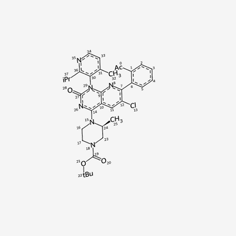 CC(=O)c1ccccc1-c1nc2c(cc1Cl)c(N1CCN(C(=O)OC(C)(C)C)C[C@@H]1C)nc(=O)n2-c1c(C)ccnc1C(C)C